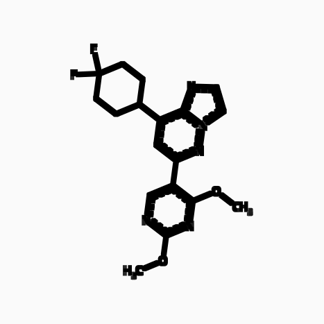 COc1ncc(-c2cc(C3CCC(F)(F)CC3)c3nccn3n2)c(OC)n1